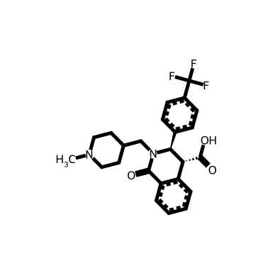 CN1CCC(CN2C(=O)c3ccccc3[C@@H](C(=O)O)[C@@H]2c2ccc(C(F)(F)F)cc2)CC1